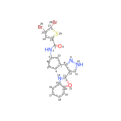 O=C(Nc1cccc(-c2n[nH]cc2-c2nc3ccccc3o2)c1)c1cc(Br)c(Br)s1